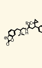 CN(C)C(CNC(=O)CC(c1cccnc1)C1(C(F)(F)F)CC1)Cc1ccc2[nH]c(=O)oc2c1